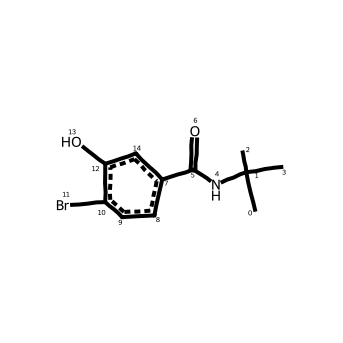 CC(C)(C)NC(=O)c1ccc(Br)c(O)c1